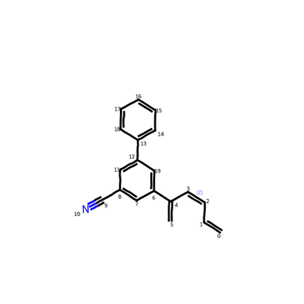 C=C/C=C\C(=C)c1cc(C#N)cc(-c2ccccc2)c1